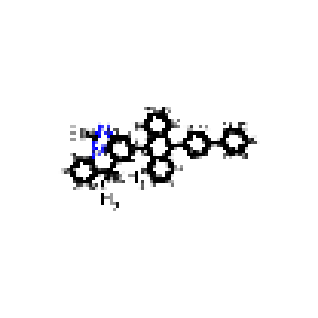 CCc1nc2cc(-c3c4ccccc4c(-c4ccc(-c5ccccc5)cc4)c4ccccc34)cc3c2n1-c1ccccc1C3(C)C